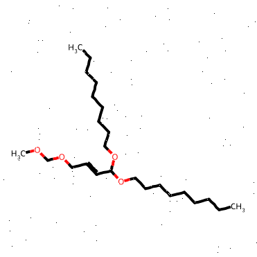 CCCCCCCCCOC(C=CCOCOC)OCCCCCCCCC